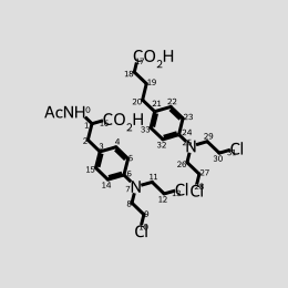 CC(=O)NC(Cc1ccc(N(CCCl)CCCl)cc1)C(=O)O.O=C(O)CCCc1ccc(N(CCCl)CCCl)cc1